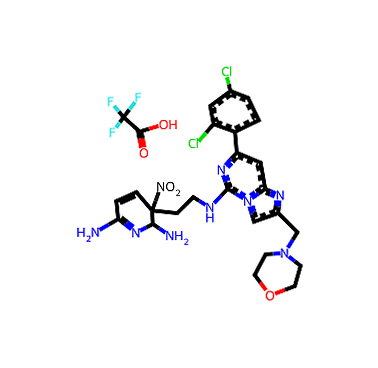 NC1=NC(N)C(CCNc2nc(-c3ccc(Cl)cc3Cl)cc3nc(CN4CCOCC4)cn23)([N+](=O)[O-])C=C1.O=C(O)C(F)(F)F